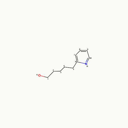 [O]CCCCCc1ccccn1